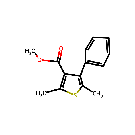 COC(=O)c1c(C)sc(C)c1-c1ccccc1